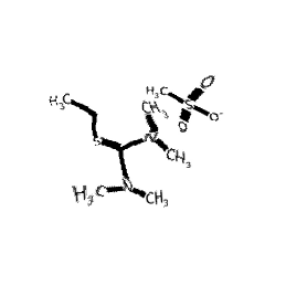 CC[S+]=C(N(C)C)N(C)C.CS(=O)(=O)[O-]